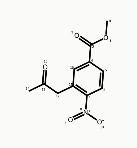 COC(=O)c1ccc([N+](=O)[O-])c(CC(C)=O)c1